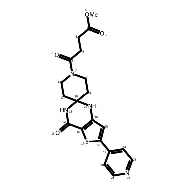 COC(=O)CCC(=O)N1CCC2(CC1)NC(=O)c1sc(-c3ccncc3)cc1N2